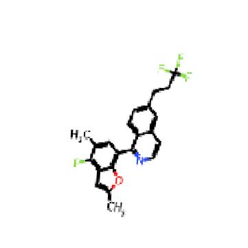 Cc1cc2c(F)c(C)cc(-c3nccc4cc(CCC(F)(F)F)ccc34)c2o1